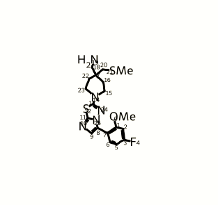 COc1cc(F)ccc1-c1cnc2sc(N3CCC(CN)(CSC)CC3)nn12